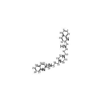 c1ccc2nc(CNCCCN3CCN(CCCNCc4ccc5ccccc5n4)CC3)ccc2c1